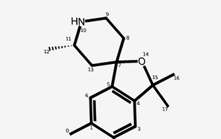 Cc1ccc2c(c1)C1(CCN[C@@H](C)C1)OC2(C)C